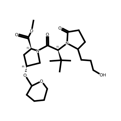 COC(=O)[C@@H]1C[C@@H](OC2CCCCO2)CN1C(=O)[C@@H](N1C(=O)CCC1CCCO)C(C)(C)C